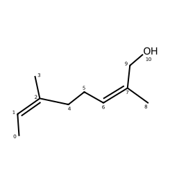 C/C=C(/C)CCC=C(C)CO